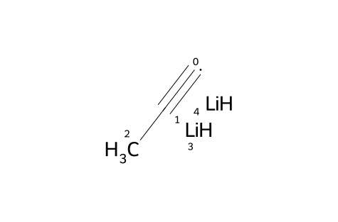 [C]#CC.[LiH].[LiH]